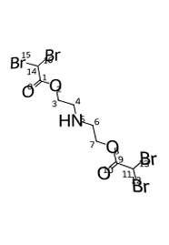 O=C(OCCNCCOC(=O)C(Br)Br)C(Br)Br